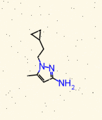 Cc1cc(N)nn1CCC1CC1